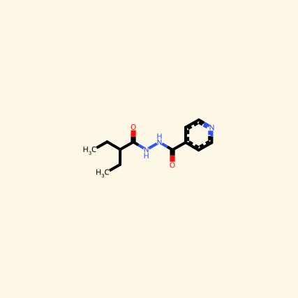 CCC(CC)C(=O)NNC(=O)c1ccncc1